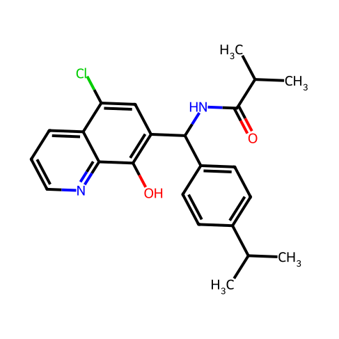 CC(C)C(=O)NC(c1ccc(C(C)C)cc1)c1cc(Cl)c2cccnc2c1O